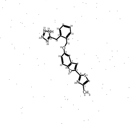 Cc1csc(-c2cc3cc(OCc4ccccc4Cc4nnn[nH]4)ccc3o2)n1